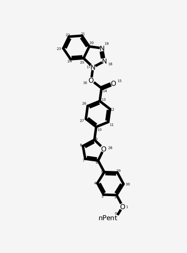 CCCCCOc1ccc(-c2ccc(-c3ccc(C(=O)On4nnc5ccccc54)cc3)o2)cc1